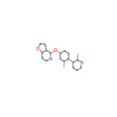 Cc1cc(Oc2nccc3occc23)ccc1-c1cccnc1C